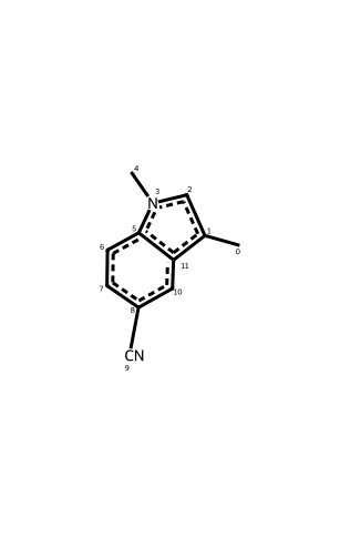 Cc1cn(C)c2ccc(C#N)cc12